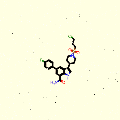 NC(=O)c1cc(-c2ccc(F)cc2)cc2c(C3CCN(S(=O)(=O)CCCCl)CC3)c[nH]c12